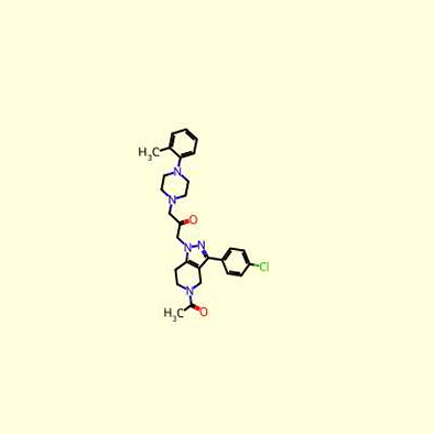 CC(=O)N1CCc2c(c(-c3ccc(Cl)cc3)nn2CC(=O)CN2CCN(c3ccccc3C)CC2)C1